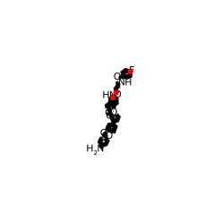 NC1CCN(C(=O)Oc2ccc(C3CCC[C@]4(C3)OO[C@]3(CC5CCC6(NC(=O)CCCNC(=O)c7ccc(F)cc7)CC5CC3C6)O4)cc2)CC1